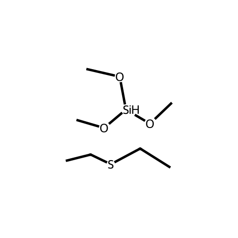 CCSCC.CO[SiH](OC)OC